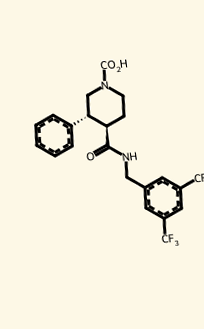 O=C(NCc1cc(C(F)(F)F)cc(C(F)(F)F)c1)[C@@H]1CCN(C(=O)O)C[C@H]1c1ccccc1